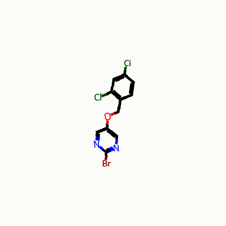 Clc1ccc(COc2cnc(Br)nc2)c(Cl)c1